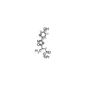 CCCOC(=O)CC(C)c1nc(-c2ccc(O)cn2)no1